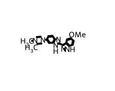 COc1ccc2[nH]nc(-c3nc4ccc(N5CCN(C)C(C)C5)cc4[nH]3)c2c1